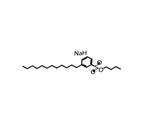 CCCCCCCCCCCCc1cccc(S(=O)(=O)OCCCC)c1.[NaH]